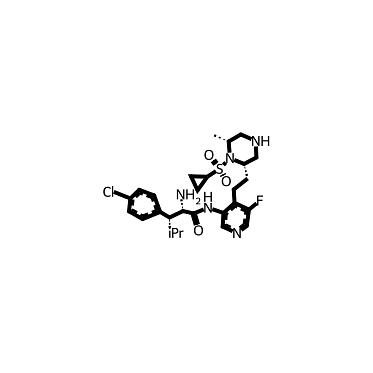 CC(C)[C@H](c1ccc(Cl)cc1)[C@H](N)C(=O)Nc1cncc(F)c1CC[C@H]1CNC[C@@H](C)N1S(=O)(=O)C1CC1